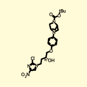 CC(C)(C)OC(=O)N1CC2CC1CN2c1ccc(OC[C@H](O)CCn2cc([N+](=O)[O-])nc2Cl)cc1